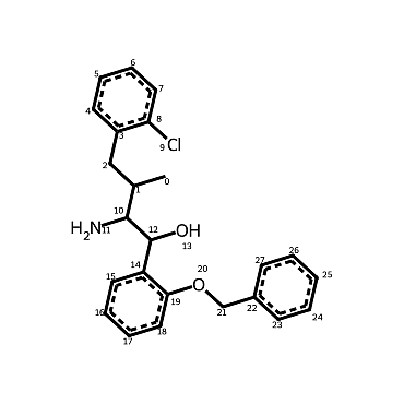 CC(Cc1ccccc1Cl)C(N)C(O)c1ccccc1OCc1ccccc1